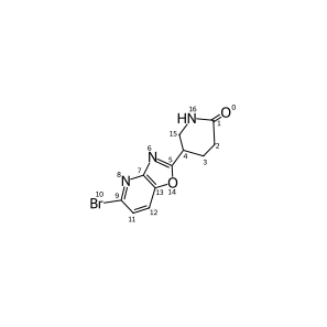 O=C1CCC(c2nc3nc(Br)ccc3o2)CN1